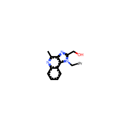 Cc1nc2ccccc2c2c1nc(CO)n2CC(C)C